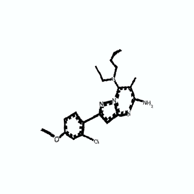 CCCN(CC)c1c(C)c(N)nc2cc(-c3ccc(OC)cc3Cl)nn12